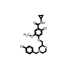 COc1cc(C(=O)NC2CC2)c(Cl)cc1OCC1CN(Cc2ccc(Cl)cc2)CCO1